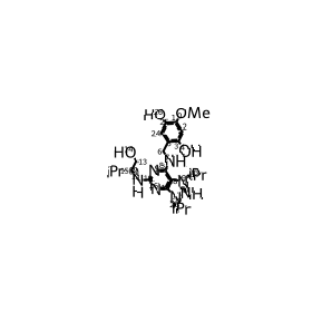 COc1cc(O)c(CNc2nc(N[C@@H](CO)C(C)C)nc3c2N(C(C)C)NN3C(C)C)cc1O